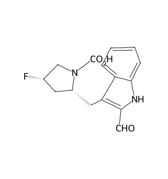 O=Cc1[nH]c2ccccc2c1C[C@@H]1C[C@H](F)CN1C(=O)O